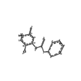 O=C(Cc1ccccc1)Oc1cc(=O)[nH]cc1Cl